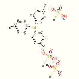 Cc1ccc([S+](c2ccc(C)cc2)c2ccc(C)cc2)cc1.O=S(=O)(O)F.O=S(=O)(O)F.O=S(=O)([O-])F